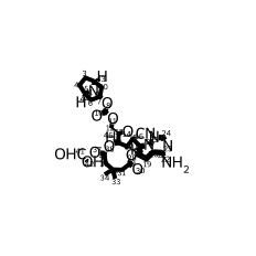 CN1[C@@H]2CC[C@H]1CC(OC(=O)OC[C@H]1O[C@@](C#N)(c3ccc4c(N)ncnn34)[C@@H]3OC(=O)CC(C)(C)CC(=O)O[C@@H]31)C2.O=CO